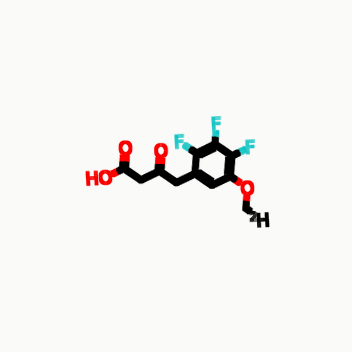 [2H]COc1cc(CC(=O)CC(=O)O)c(F)c(F)c1F